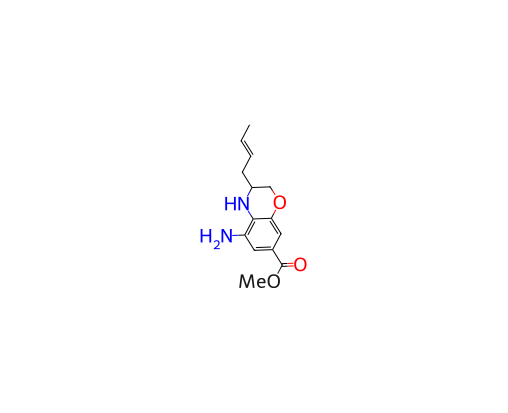 CC=CCC1COc2cc(C(=O)OC)cc(N)c2N1